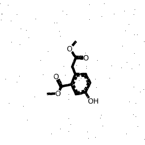 COC(=O)Cc1ccc(O)cc1C(=O)OC